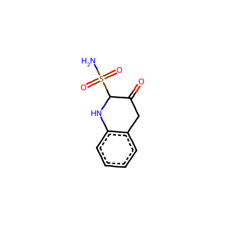 NS(=O)(=O)C1Nc2ccccc2CC1=O